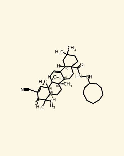 CC1(C)CCC2(C(=O)NBC3CCCCCCCC3)CC[C@]3(C)C(=CCC4[C@@]5(C)C=C(C#N)C(=O)C(C)(C)[C@@H]5CC[C@]43C)[C@@H]2C1